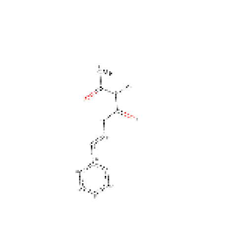 COC(=O)C(C)C(=O)CC=Cc1ccccc1